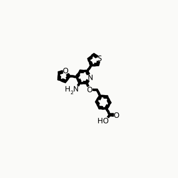 Nc1c(-c2ccco2)cc(-c2ccsc2)nc1OCc1ccc(C(=O)O)cc1